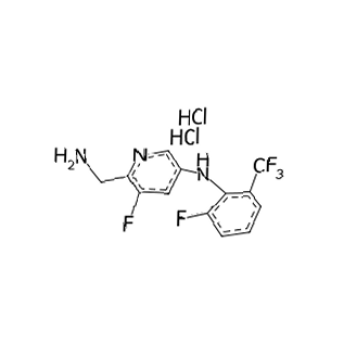 Cl.Cl.NCc1ncc(Nc2c(F)cccc2C(F)(F)F)cc1F